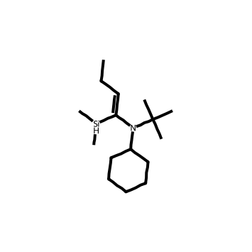 CC/C=C(/N(C1CCCCC1)C(C)(C)C)[SiH](C)C